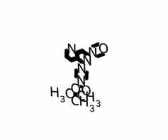 CC(C)(C)OC(=O)N1CCN(c2nc(N3CCOCC3)cc3ncccc23)CC1